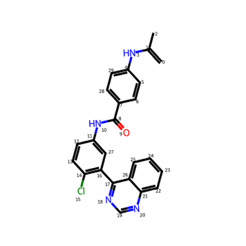 C=C(C)Nc1ccc(C(=O)Nc2ccc(Cl)c(-c3ncnc4ccccc34)c2)cc1